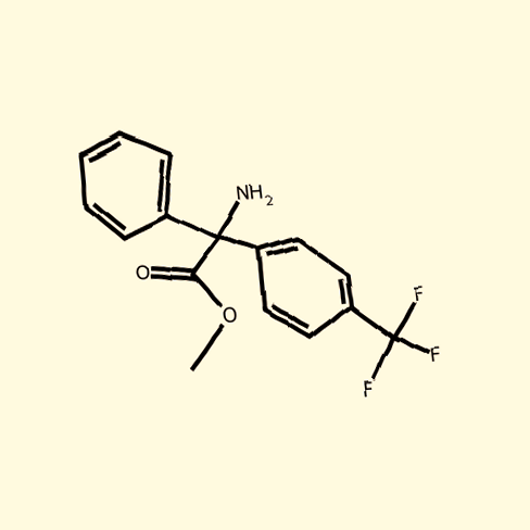 COC(=O)C(N)(c1ccccc1)c1ccc(C(F)(F)F)cc1